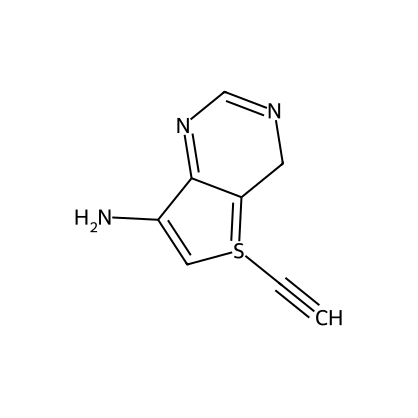 C#CS1=C2CN=CN=C2C(N)=C1